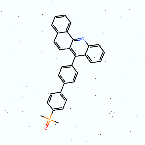 CP(C)(=O)c1ccc(-c2ccc(-c3c4ccccc4nc4c3ccc3ccccc34)cc2)cc1